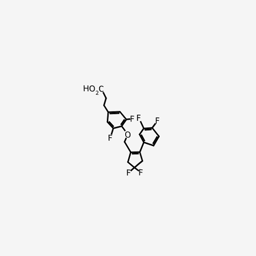 O=C(O)CCc1cc(F)c(OCC2=C(c3ccc(F)c(F)c3)CC(F)(F)C2)c(F)c1